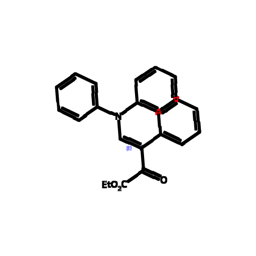 CCOC(=O)C(=O)/C(=C/N(c1ccccc1)c1ccccc1)c1ccccc1